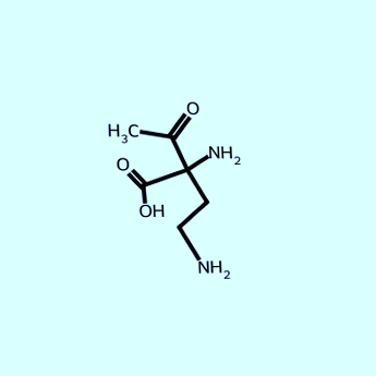 CC(=O)C(N)(CCN)C(=O)O